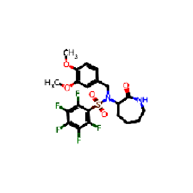 COc1ccc(CN(C2CCCCNC2=O)S(=O)(=O)c2c(F)c(F)c(F)c(F)c2F)cc1OC